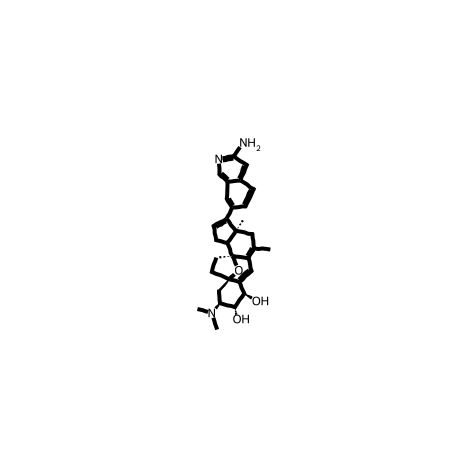 CC1=C2C=C3[C@@H](O)[C@H](O)[C@@H](N(C)C)C[C@]34CC[C@]2(O4)C2CC=C(c3ccc4cc(N)ncc4c3)[C@@]2(C)C1